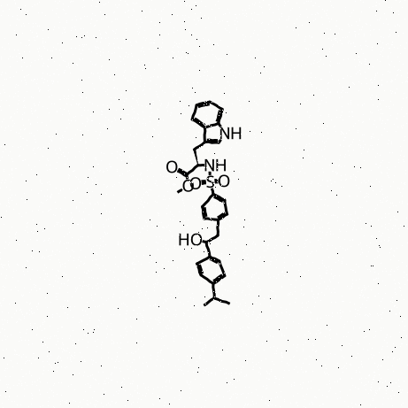 COC(=O)[C@@H](Cc1c[nH]c2ccccc12)NS(=O)(=O)c1ccc(CC(O)c2ccc(C(C)C)cc2)cc1